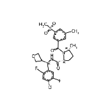 Cc1cc(C(=O)N2[C@H](C)CC[C@@H]2C(=O)N[C@@H](c2cc(F)c(Cl)cc2F)C2COC2)cc(S(C)(=O)=O)c1